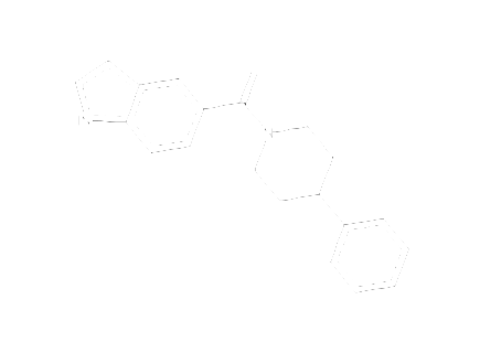 O=C(c1ccc2[nH]ccc2c1)N1CCC(c2ccccc2)CC1